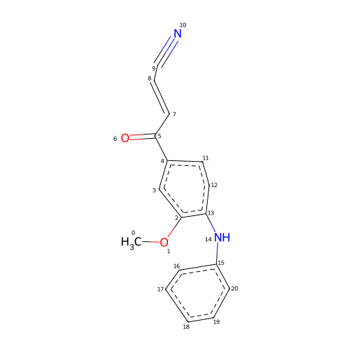 COc1cc(C(=O)C=CC#N)ccc1Nc1ccccc1